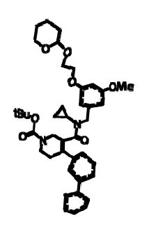 COc1cc(CN(C(=O)C2=C(c3cccc(-c4ccccc4)c3)CCN(C(=O)OC(C)(C)C)C2)C2CC2)cc(OCCOC2CCCCO2)c1